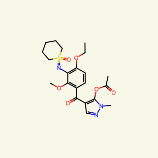 CCOc1ccc(C(=O)c2cnn(C)c2OC(C)=O)c(OC)c1N=S1(=O)CCCCC1